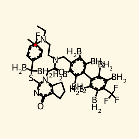 Bc1c(B)c(-c2c(B)c(B)c(C(F)(F)F)c(B)c2B)c(B)c(B)c1CN(CCN(CC)CC)C(=O)Cn1c(SC(B)(B)c2ccc(F)cc2)nc(=O)c2c1CCC2